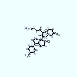 COCCN(C)C(=O)[C@](C)(Cc1cccc(F)c1)c1c(Cl)cnc2c(-c3ccc(C(F)(F)F)cc3)cnn12